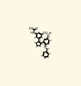 CCC(=O)Nc1cc(C(=O)O)cc(C2=C(c3cc(Cl)ccc3OCc3ccccc3)CCC2)c1